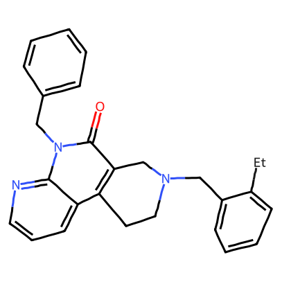 CCc1ccccc1CN1CCc2c(c(=O)n(Cc3ccccc3)c3ncccc23)C1